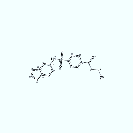 CC(=O)SCC(=O)c1ccc(S(=O)(=O)Nc2ccc3occc3c2)cc1